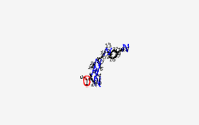 COC1=CN(N2CCN(CCCN(C)c3cccc(C#N)c3)CC2)CN=C1